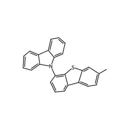 Cc1ccc2c(c1)sc1c(-n3c4ccccc4c4ccccc43)cccc12